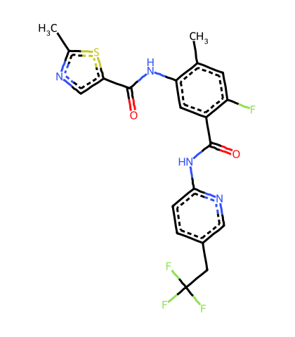 Cc1ncc(C(=O)Nc2cc(C(=O)Nc3ccc(CC(F)(F)F)cn3)c(F)cc2C)s1